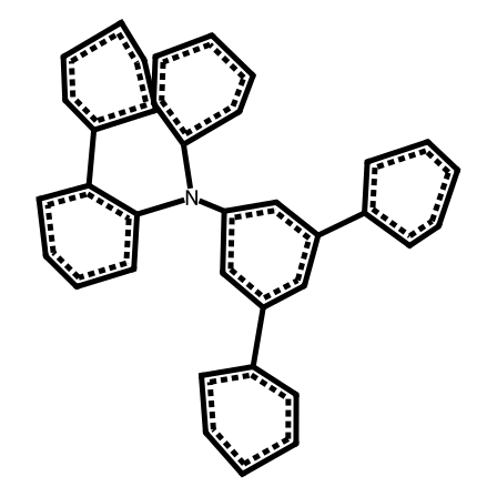 c1ccc(-c2cc(-c3ccccc3)cc(N(c3ccccc3)c3ccccc3-c3ccccc3)c2)cc1